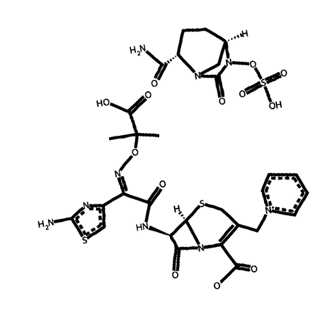 CC(C)(O/N=C(\C(=O)N[C@@H]1C(=O)N2C(C(=O)[O-])=C(C[n+]3ccccc3)CS[C@H]12)c1csc(N)n1)C(=O)O.NC(=O)[C@@H]1CC[C@@H]2CN1C(=O)N2OS(=O)(=O)O